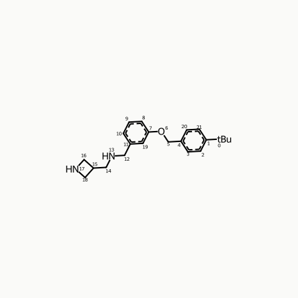 CC(C)(C)c1ccc(COc2cccc(CNCC3CNC3)c2)cc1